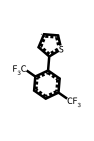 FC(F)(F)c1ccc(C(F)(F)F)c(-c2c[c]cs2)c1